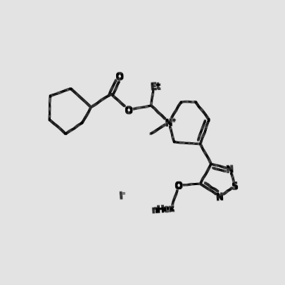 CCCCCCOc1nsnc1C1=CCC[N+](C)(C(CC)OC(=O)C2CCCCC2)C1.[I-]